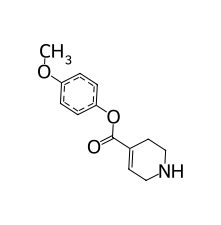 COc1ccc(OC(=O)C2=CCNCC2)cc1